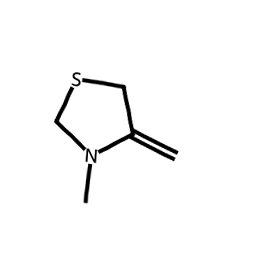 C=C1CSCN1C